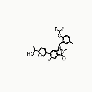 Cc1ccc(OC(F)F)c(Cn2c3cc(C4=CCC(C(C)O)OC4)c(F)cc3c(=O)n2C)c1